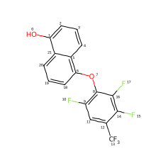 Oc1cccc2c(Oc3c(F)cc(C(F)(F)F)c(F)c3F)cccc12